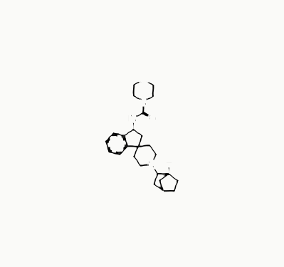 O=C(N[C@H]1CC2(CCN(C3CC4CC[C@@H]3C4)CC2)c2ccccc21)N1CCOCC1